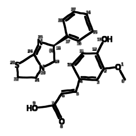 COc1cc(C=CC(=O)O)ccc1O.c1ccc([C@H]2CN3CCSC3=N2)cc1